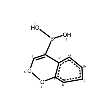 OB(O)C1=COOc2ccccc21